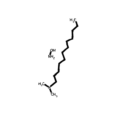 CCCCCCCCCCCCN(C)C.NO